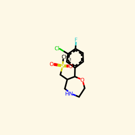 CS(=O)(=O)CC1CNCCOC1c1ccc(F)c(Cl)c1